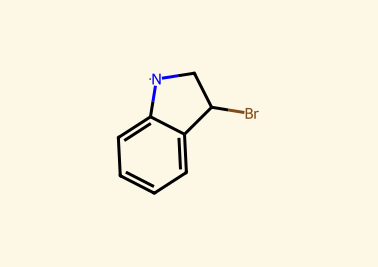 BrC1C[N]c2ccccc21